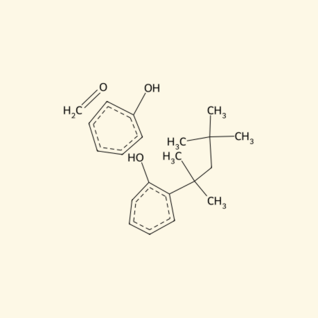 C=O.CC(C)(C)CC(C)(C)c1ccccc1O.Oc1ccccc1